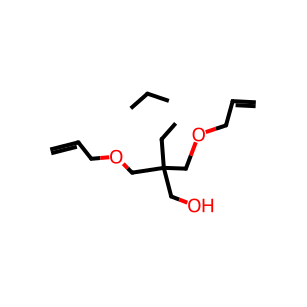 C=CCOCC(CC)(CO)COCC=C.CCC